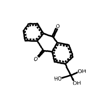 O=C1c2ccccc2C(=O)c2cc(C(O)(O)O)ccc21